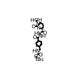 CC(C)(C)OC(=O)NCc1ccc(C(=O)NNC(=O)[C@@H]2CC[C@@H]3CN2C(=O)N3O)cc1